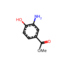 COC(=O)c1c[c]c(O)c(N)c1